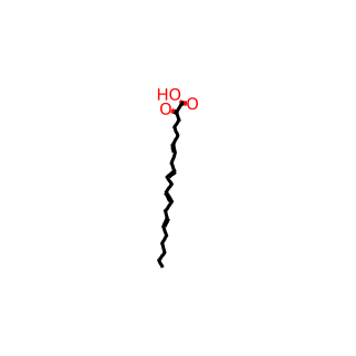 CCCCCC=CCC=CCC=CCC=CCCCC(=O)C(=O)O